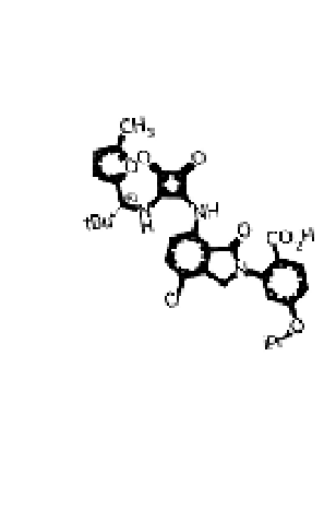 Cc1ccc([C@H](Nc2c(Nc3ccc(Cl)c4c3C(=O)N(c3cc(OC(C)C)ccc3C(=O)O)C4)c(=O)c2=O)C(C)(C)C)o1